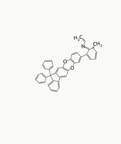 C=C/N=C1\C(=C)C=CC=C1c1ccc2c(c1)Oc1cc3c(cc1O2)C(c1ccccc1)(c1ccccc1)c1ccccc1-3